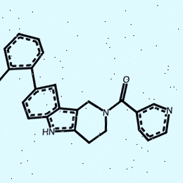 Cc1ccccc1-c1ccc2[nH]c3c(c2c1)CN(C(=O)c1cccnc1)CC3